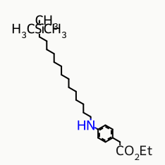 CCOC(=O)Cc1ccc(NCCCCCCCCCCCCCC[Si](C)(C)C)cc1